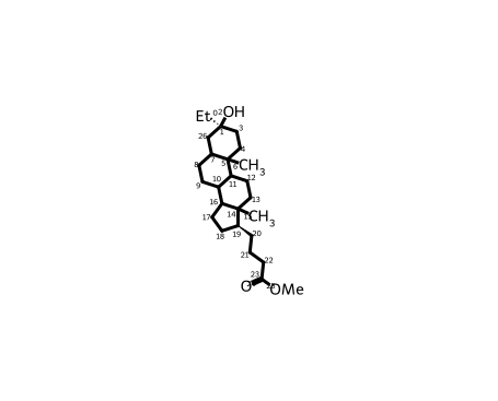 CC[C@]1(O)CCC2(C)C(CCC3C2CCC2(C)C3CC[C@@H]2CCCC(=O)OC)C1